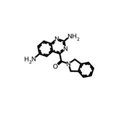 Nc1ccc2nc(N)nc(C(=O)N3Cc4ccccc4C3)c2c1